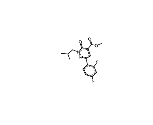 COC(=O)c1cc(-c2ccc(F)cc2F)nn(CC(C)C)c1=O